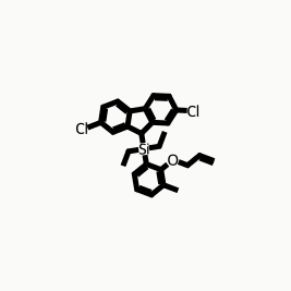 C=CCOc1c(C)cccc1[Si](CC)(CC)C1c2cc(Cl)ccc2-c2ccc(Cl)cc21